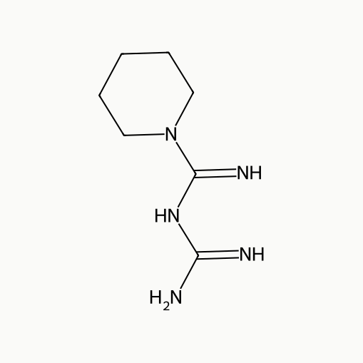 N=C(N)NC(=N)N1CCCCC1